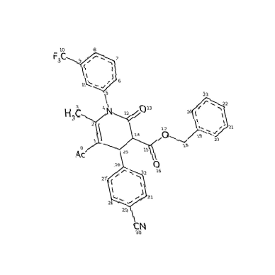 CC(=O)C1=C(C)N(c2cccc(C(F)(F)F)c2)C(=O)C(C(=O)OCc2ccccc2)C1c1ccc(C#N)cc1